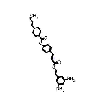 C=CCCC1CCC(C(=O)Oc2ccc(/C=C/C(=O)OCCc3cc(N)cc(N)c3)cc2)CC1